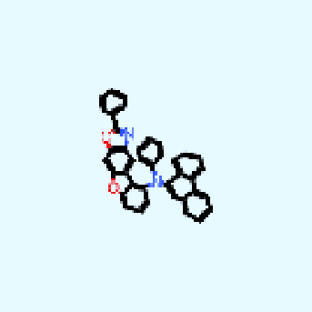 c1ccc(-c2nc3cc4c(cc3o2)oc2cccc(N(c3ccccc3)c3cc5ccccc5c5ccccc35)c24)cc1